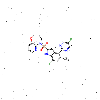 O=S(=O)(c1cc2c(-c3ncc(F)cn3)c(C(F)(F)F)cc(F)c2[nH]1)N1CCCOc2cccnc21